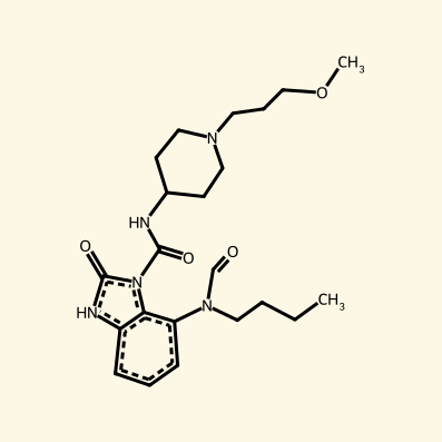 CCCCN(C=O)c1cccc2[nH]c(=O)n(C(=O)NC3CCN(CCCOC)CC3)c12